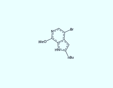 CCCCc1cc2c(Br)cnc(OC)c2[nH]1